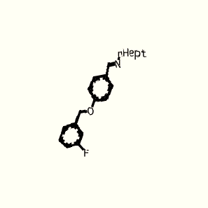 CCCCCCCN=Cc1ccc(OCc2cccc(F)c2)cc1